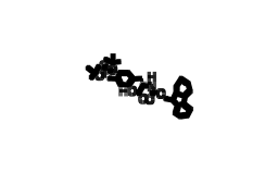 CC(C)(C)OP(=O)(Cc1ccc(C[C@H](NC(=O)OCC2c3ccccc3-c3ccccc32)C(=O)O)cc1)OC(C)(C)C